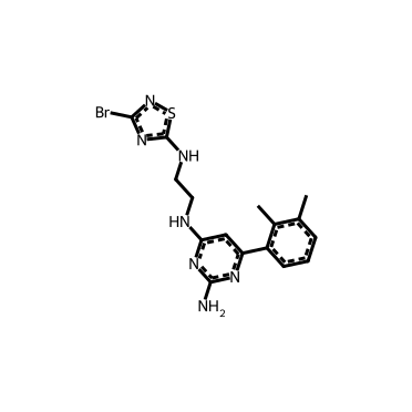 Cc1cccc(-c2cc(NCCNc3nc(Br)ns3)nc(N)n2)c1C